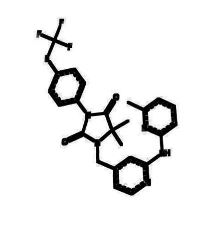 Cc1cccc(Nc2cc(CN3C(=O)N(c4ccc(SC(F)(F)F)cc4)C(=O)C3(C)C)ccn2)n1